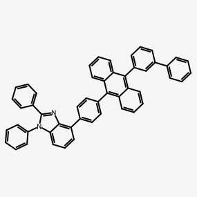 c1ccc(-c2cccc(-c3c4ccccc4c(-c4ccc(-c5cccc6c5nc(-c5ccccc5)n6-c5ccccc5)cc4)c4ccccc34)c2)cc1